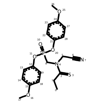 CCC(=S)N(CC#N)CP(=O)(Oc1ccc(OC)cc1)Oc1ccc(OC)cc1